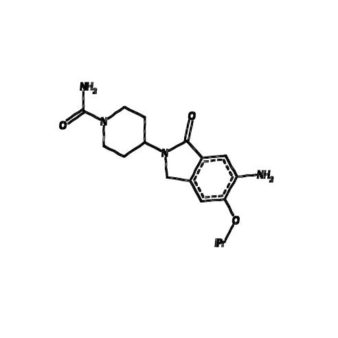 CC(C)Oc1cc2c(cc1N)C(=O)N(C1CCN(C(N)=O)CC1)C2